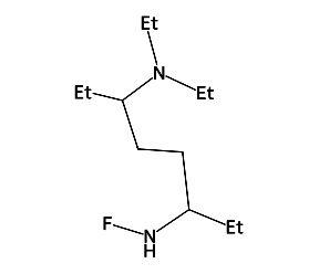 CCC(CCC(CC)N(CC)CC)NF